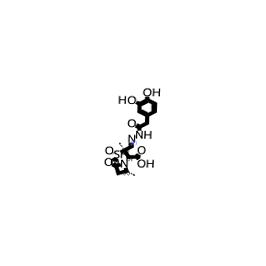 C[C@@H]1CC(=O)N1[C@@H](C(=O)O)[C@](C)(/C=N/NC(=O)Cc1ccc(O)c(O)c1)[SH](=O)=O